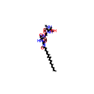 CCCCCCCCCCCCCCCC(=O)NCC(=O)N[C@@H](CO)C(=O)NCC(=O)N[C@H](C(=O)NC)[C@H](C)O